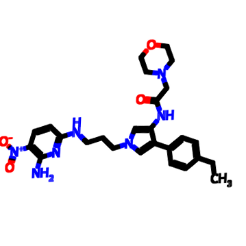 CCc1ccc(-c2cn(CCCNc3ccc([N+](=O)[O-])c(N)n3)cc2NC(=O)CN2CCOCC2)cc1